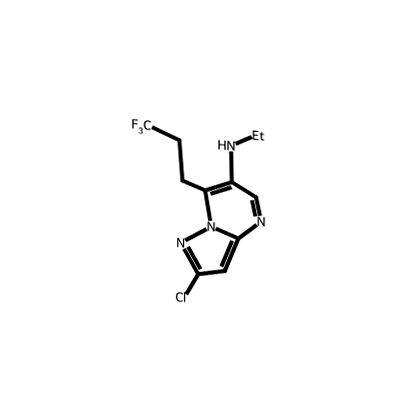 CCNc1cnc2cc(Cl)nn2c1CCC(F)(F)F